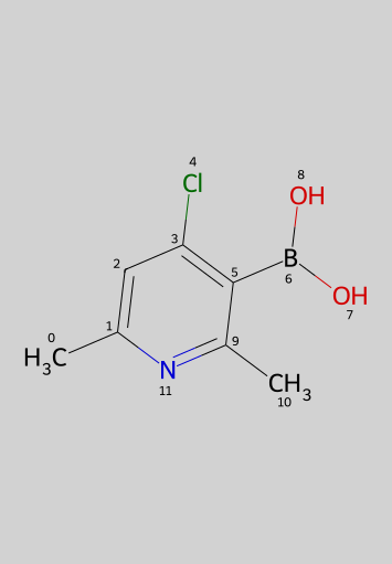 Cc1cc(Cl)c(B(O)O)c(C)n1